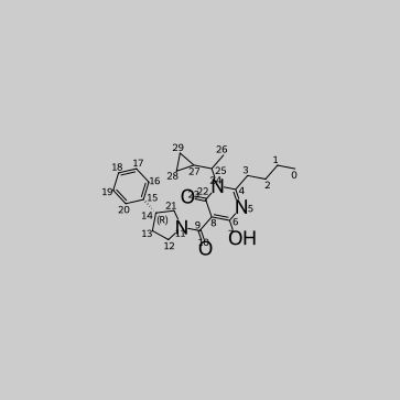 CCCCc1nc(O)c(C(=O)N2CC[C@H](c3ccccc3)C2)c(=O)n1C(C)C1CC1